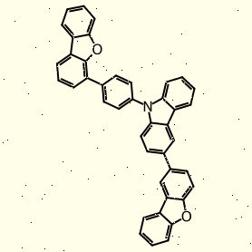 c1ccc2c(c1)oc1ccc(-c3ccc4c(c3)c3ccccc3n4-c3ccc(-c4cccc5c4oc4ccccc45)cc3)cc12